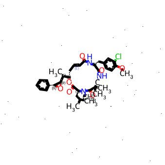 COc1ccc(C[C@H]2NC(=O)/C=C/C[C@@H]([C@H](C)[C@H]3O[C@@H]3c3ccccc3)OC(=O)[C@H](CC(C)C)N(C)C(=O)C(C)(C)CNC2=O)cc1Cl